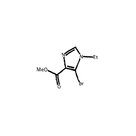 CCn1cnc(C(=O)OC)c1Br